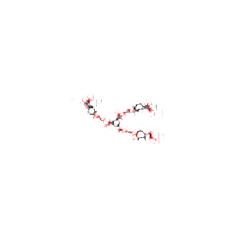 CC(C)(O)C(=O)c1ccc(OCCOC(=O)c2cc(C(=O)OCCOc3ccc(C(=O)C(C)(C)O)cc3)cc(C(=O)OCCOc3ccc(C(=O)C(C)(C)O)cc3)c2)cc1